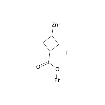 CCOC(=O)C1C[CH]([Zn+])C1.[I-]